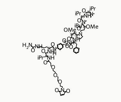 CC[C@H](C)[C@@H]([C@@H](CC(=O)N1CCC[C@H]1[C@H](OC)[C@@H](C)C(=O)N[C@@H](Cc1ccccc1)C(=O)NS(=O)(=O)c1ccc(NC(=O)[C@H](CCCCNC(N)=O)NC(=O)[C@@H](NC(=O)CCOCCOCCOCCN2C(=O)C=CC2=O)C(C)C)cc1)OC)N(C)C(=O)[C@@H](NC(=O)[C@H](C(C)C)N(C)C)C(C)C